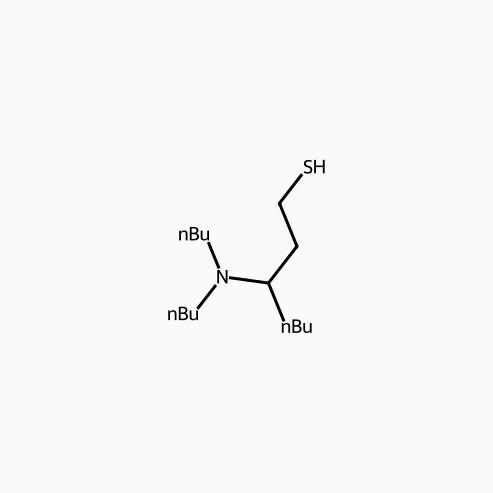 CCCCC(CCS)N(CCCC)CCCC